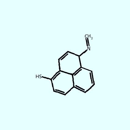 C=NC1C=Cc2c(S)ccc3cccc1c23